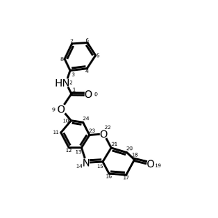 O=C(Nc1ccccc1)Oc1ccc2nc3ccc(=O)cc-3oc2c1